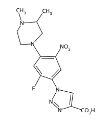 CC1CN(c2cc(F)c(-n3cc(C(=O)O)nn3)cc2[N+](=O)[O-])CCN1C